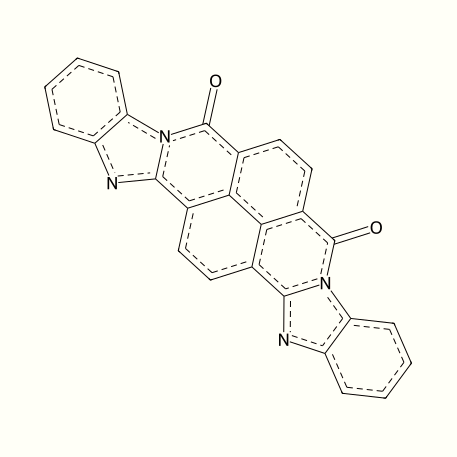 O=c1c2ccc3c(=O)n4c5ccccc5nc4c4ccc(c2c34)c2nc3ccccc3n12